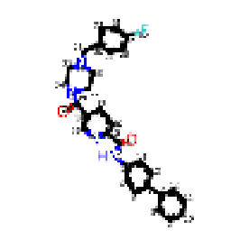 O=C(Nc1ccc(-c2ccccc2)cc1)c1ccc(C(=O)N2CCN(Cc3ccc(F)cc3)CC2)cn1